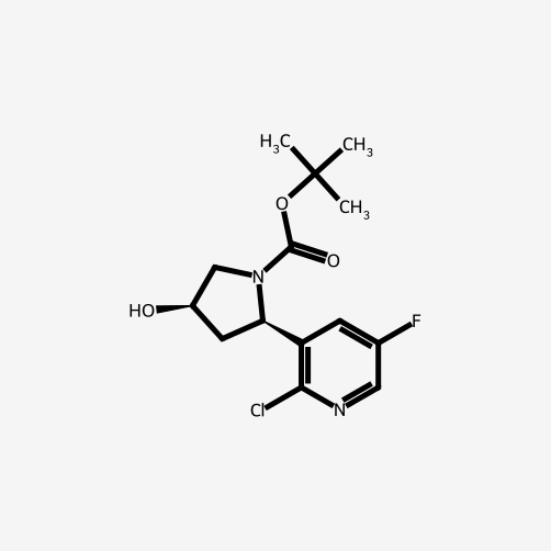 CC(C)(C)OC(=O)N1C[C@H](O)C[C@@H]1c1cc(F)cnc1Cl